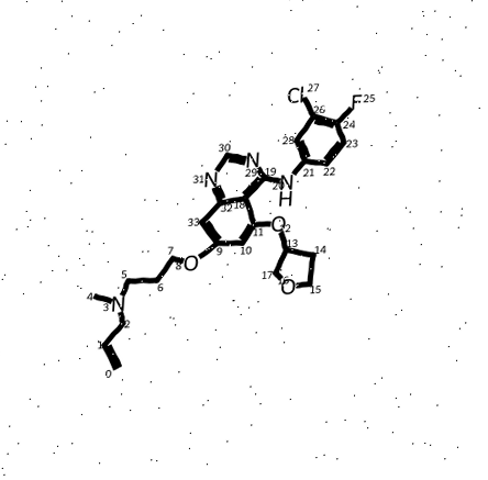 C=CCN(C)CCCOc1cc(OC2CCOC2)c2c(Nc3ccc(F)c(Cl)c3)ncnc2c1